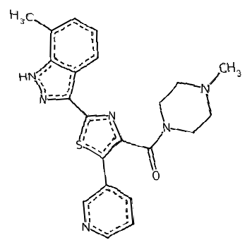 Cc1cccc2c(-c3nc(C(=O)N4CCN(C)CC4)c(-c4cccnc4)s3)n[nH]c12